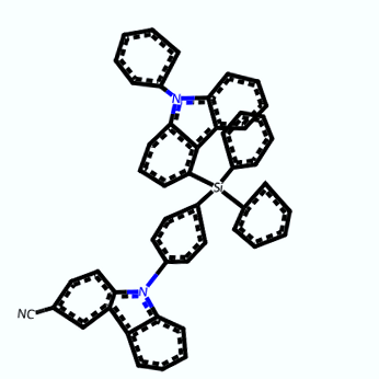 N#Cc1ccc2c(c1)c1ccccc1n2-c1ccc([Si](c2ccccc2)(c2ccccc2)c2cccc3c2c2ccccc2n3-c2ccccc2)cc1